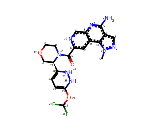 Cn1ncc2c(N)nc3cnc(C(=O)N4CCOC[C@@H]4C4=CC=C(OC(F)F)NN4)cc3c21